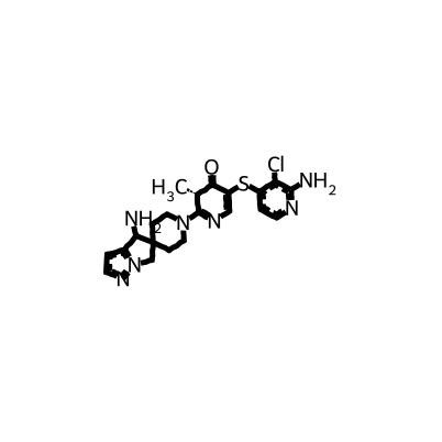 C[C@@H]1C(=O)C(Sc2ccnc(N)c2Cl)=CN=C1N1CCC2(CC1)Cn1nccc1C2N